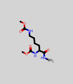 BNC(=O)C(CCCCNC(=O)OC)NC(=O)OC